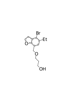 CCc1cc(COCCCO)c2occc2c1Br